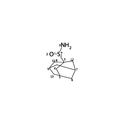 N[S+]([O-])C12CC3CC(CC(C3)C1)C2